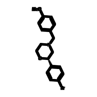 COc1ccc(CN2CCO[C@@H](c3ccc(Br)cc3)C2)cc1